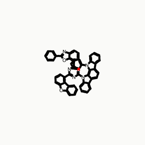 c1ccc(-c2nc3cccc(-c4nc(-c5cccc6oc7ccccc7c56)nc(-n5c6ccccc6c6ccc7c8ccccc8n(-c8ccccc8)c7c65)n4)c3o2)cc1